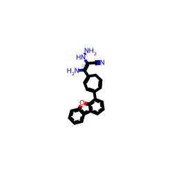 N#C/C(NN)=C(/N)C1=CC=C(c2cccc3c2oc2ccccc23)C=CC1